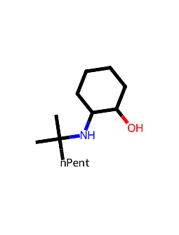 CCCCCC(C)(C)NC1CCCCC1O